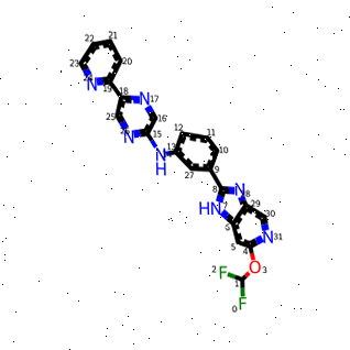 FC(F)Oc1cc2[nH]c(-c3cccc(Nc4cnc(-c5ccccn5)cn4)c3)nc2cn1